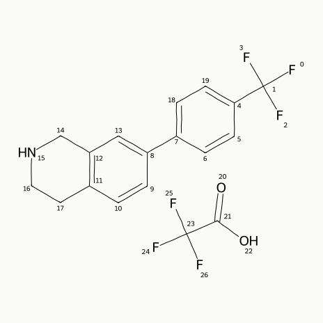 FC(F)(F)c1ccc(-c2ccc3c(c2)CNCC3)cc1.O=C(O)C(F)(F)F